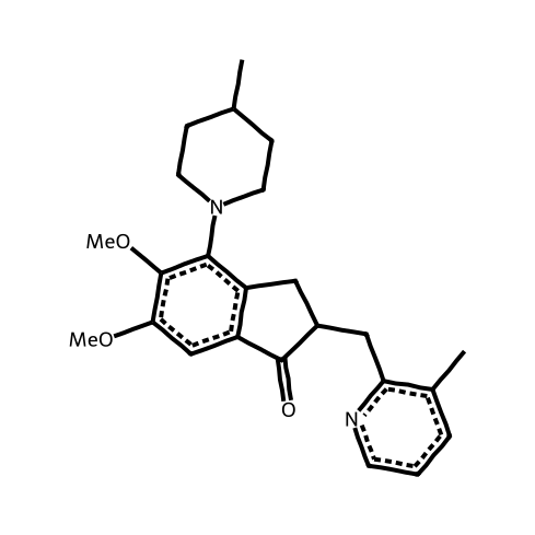 COc1cc2c(c(N3CCC(C)CC3)c1OC)CC(Cc1ncccc1C)C2=O